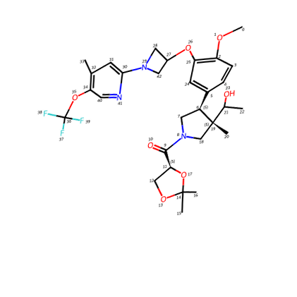 COc1ccc([C@@H]2CN(C(=O)[C@@H]3COC(C)(C)O3)C[C@@]2(C)C(C)O)cc1OC1CN(c2cc(C)c(OC(F)(F)F)cn2)C1